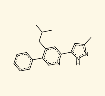 Cc1cc(-c2cc(CC(C)C)c(-c3ccccc3)cn2)[nH]n1